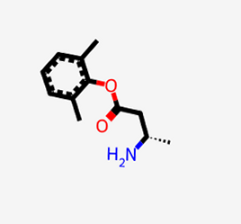 Cc1cccc(C)c1OC(=O)C[C@H](C)N